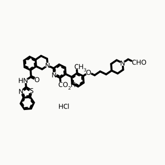 Cc1c(OCCCC2CCN(CC=O)CC2)cccc1-c1ccc(N2CCc3cccc(C(=O)Nc4nc5ccccc5s4)c3C2)nc1C(=O)O.Cl